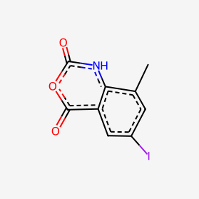 Cc1cc(I)cc2c(=O)oc(=O)[nH]c12